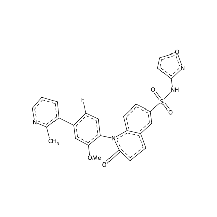 COc1cc(-c2cccnc2C)c(F)cc1-n1c(=O)ccc2cc(S(=O)(=O)Nc3ccon3)ccc21